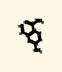 NC(=O)c1ccc(N)cc1C=O